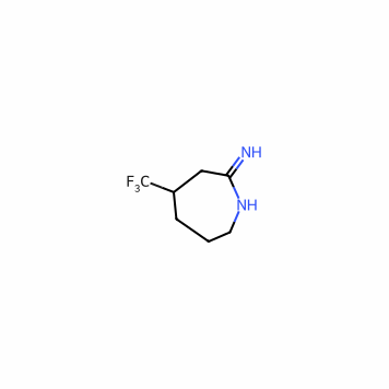 N=C1CC(C(F)(F)F)CCCN1